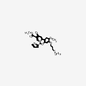 COCCCOc1cc2c(cc1OC)-c1cc(=O)c(C(=O)OC)cn1[C@H](c1cccs1)O2